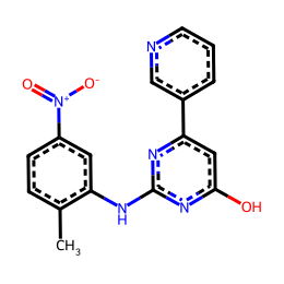 Cc1ccc([N+](=O)[O-])cc1Nc1nc(O)cc(-c2cccnc2)n1